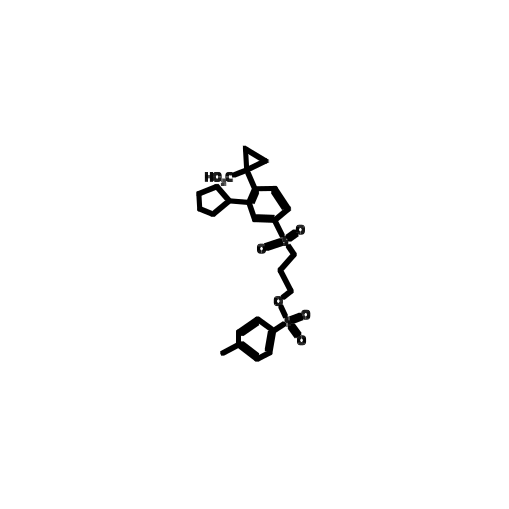 Cc1ccc(S(=O)(=O)OCCCS(=O)(=O)c2ccc(C3(C(=O)O)CC3)c(C3CCCC3)c2)cc1